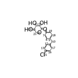 O[C@@H]1[C@@H](O)[C@@H](Oc2ccc(Cc3ccc(Cl)cc3)cc2)OC[C@H]1O